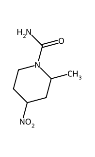 CC1CC([N+](=O)[O-])CCN1C(N)=O